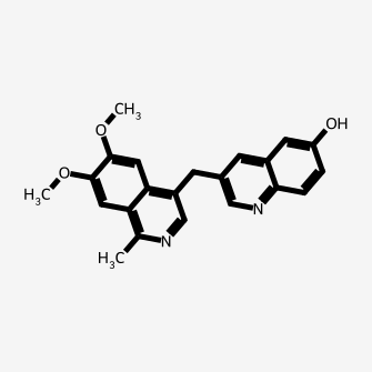 COc1cc2c(Cc3cnc4ccc(O)cc4c3)cnc(C)c2cc1OC